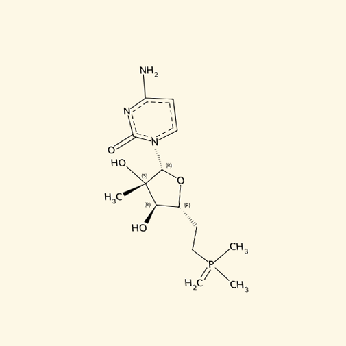 C=P(C)(C)CC[C@H]1O[C@@H](n2ccc(N)nc2=O)[C@@](C)(O)[C@@H]1O